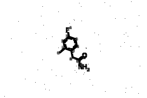 Cc1cc(F)ccc1CC(N)=O